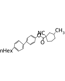 CCCCCCc1ccc(-c2ccc(OC(=O)C3(C#N)CCCC(C)C3)cc2)cc1